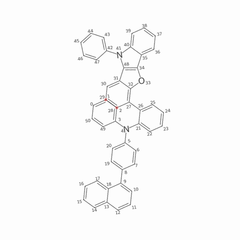 c1ccc(N(c2ccc(-c3cccc4ccccc34)cc2)c2ccccc2-c2cccc3c2oc2c4ccccc4n(-c4ccccc4)c32)cc1